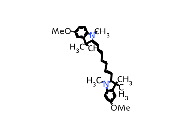 COc1ccc2c(c1)C(C)(C)\C(=C/C=C/C=C/C=C/C1N(C)c3ccc(OC)cc3C1(C)C)N2C